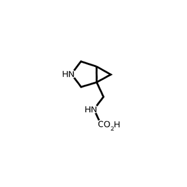 O=C(O)NCC12CNCC1C2